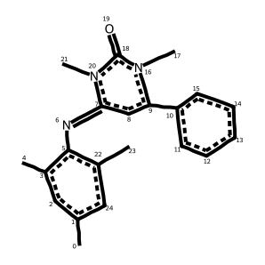 Cc1cc(C)c(N=c2cc(-c3ccccc3)n(C)c(=O)n2C)c(C)c1